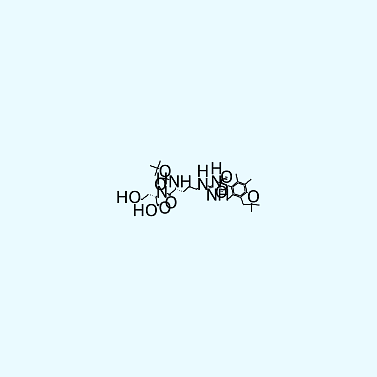 Cc1c(C)c(S(=O)(=O)NC(=N)NCCC[C@@H](NC(=O)OC(C)(C)C)C(=O)N[C@@H](CCO)C(=O)O)c(C)c2c1OC(C)(C)C2